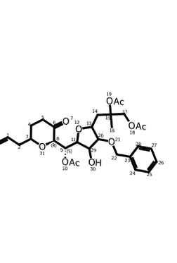 C=CCC1CCC(=O)[C@@H]([C@@H](OC(C)=O)C2OC(CC(C)(COC(C)=O)OC(C)=O)C(OCc3ccccc3)C2O)O1